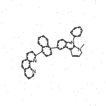 CN1CC=Cc2c1n(-c1ccccc1)c1ccc(-c3ccc(-c4ccc5ccc6cccnc6c5n4)c4ccccc34)cc21